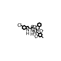 COc1cc(C)cc(OC)c1-c1nc(NC(=O)c2cc3cc(Cl)ccc3[nH]2)nn1Cc1ccccc1Cl